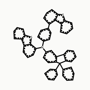 c1ccc(C2(c3ccccc3)c3ccccc3-c3cc(N(c4ccc(-c5cccc6sc7ccccc7c56)cc4)c4cccc5c4sc4ccccc45)ccc32)cc1